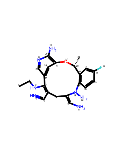 CCN/C1=C(\C=N)C/C(=C/N)N(N)c2ccc(F)cc2[C@@H](C)Oc2cc1cnc2N